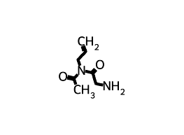 C=CCN(C(C)=O)C(=O)CN